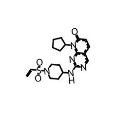 C=CS(=O)(=O)N1CCC(Nc2ncc3ccc(=O)n(C4CCCC4)c3n2)CC1